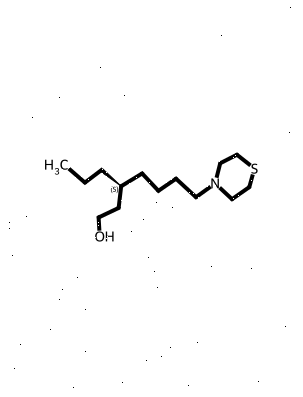 CCC[C@H](CCO)CCCCN1CCSCC1